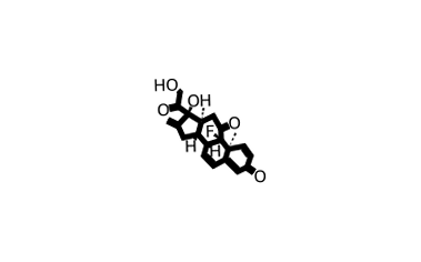 C=C1C[C@H]2[C@@H]3C=CC4=CC(=O)C=C[C@]4(C)[C@@]3(F)C(=O)C[C@]2(C)[C@@]1(O)C(=O)CO